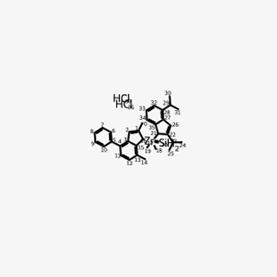 CC1=Cc2c(-c3ccccc3)ccc(C)c2[CH]1[Zr]([CH3])([CH3])(=[SiH2])[CH]1C(C(C)C)=Cc2c(C(C)C)cccc21.Cl.Cl